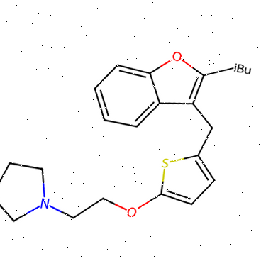 CCC(C)c1oc2ccccc2c1Cc1ccc(OCCN2CCCC2)s1